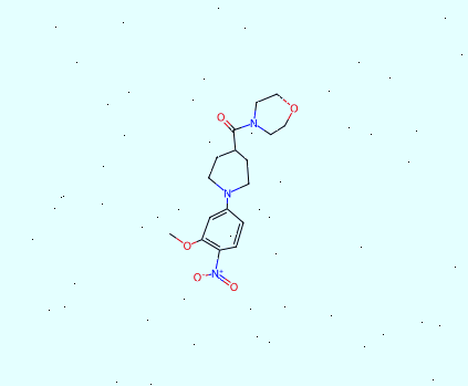 COc1cc(N2CCC(C(=O)N3CCOCC3)CC2)ccc1[N+](=O)[O-]